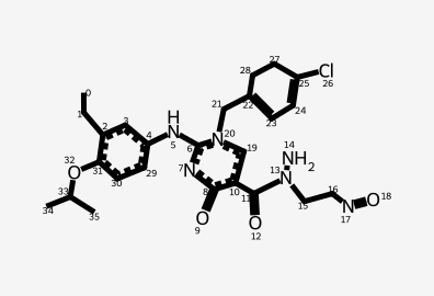 CCc1cc(Nc2nc(=O)c(C(=O)N(N)CCN=O)cn2CC2=CC=C(Cl)CC2)ccc1OC(C)C